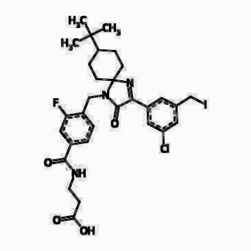 CC(C)(C)C1CCC2(CC1)N=C(c1cc(Cl)cc(CI)c1)C(=O)N2Cc1ccc(C(=O)NCCC(=O)O)cc1F